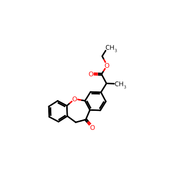 CCOC(=O)C(C)c1ccc2c(c1)Oc1ccccc1CC2=O